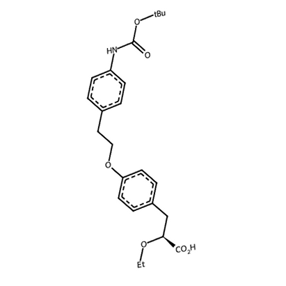 CCO[C@@H](Cc1ccc(OCCc2ccc(NC(=O)OC(C)(C)C)cc2)cc1)C(=O)O